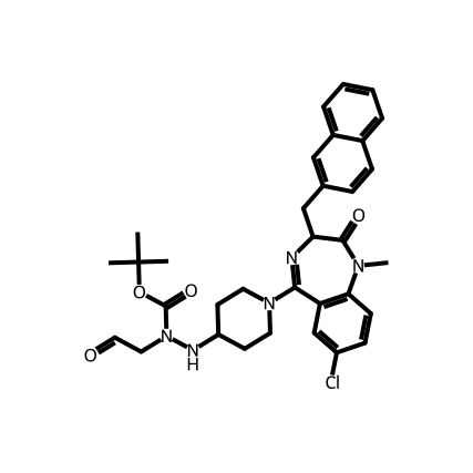 CN1C(=O)C(Cc2ccc3ccccc3c2)N=C(N2CCC(NN(CC=O)C(=O)OC(C)(C)C)CC2)c2cc(Cl)ccc21